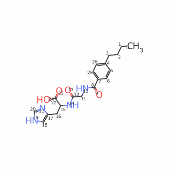 CCCCc1ccc(C(=O)NCC(=O)NC(Cc2c[nH]cn2)C(=O)O)cc1